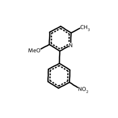 COc1ccc(C)nc1-c1cccc([N+](=O)[O-])c1